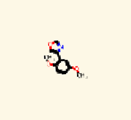 COc1ccc(OC)c(-c2co[c]n2)c1